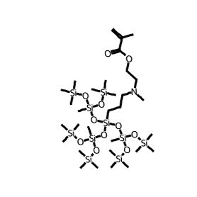 C=C(C)C(=O)OCCN(C)CCC[Si](O[Si](C)(O[Si](C)(C)C)O[Si](C)(C)C)(O[Si](C)(O[Si](C)(C)C)O[Si](C)(C)C)O[Si](C)(O[Si](C)(C)C)O[Si](C)(C)C